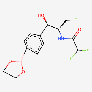 O=C(N[C@H](CF)[C@H](O)c1ccc(B2OCCO2)cc1)C(F)F